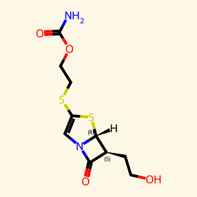 NC(=O)OCCSC1=CN2C(=O)[C@H](CCO)[C@H]2S1